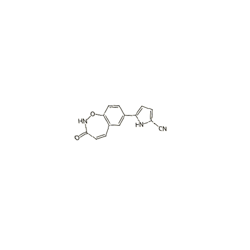 N#Cc1ccc(-c2ccc3c(c2)C=CC(=O)NO3)[nH]1